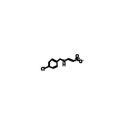 O=[N+]([O-])C=CNCc1ccc(Cl)cc1